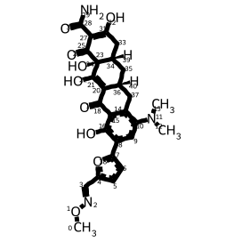 CO/N=C/c1ccc(-c2cc(N(C)C)c3c(c2O)C(=O)C2=C(O)[C@]4(O)C(=O)C(C(N)=O)=C(O)C[C@@H]4C[C@@H]2C3)o1